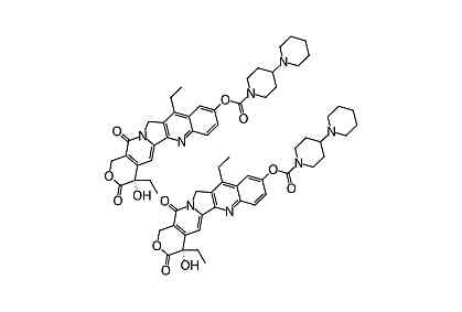 CCc1c2c(nc3ccc(OC(=O)N4CCC(N5CCCCC5)CC4)cc13)-c1cc3c(c(=O)n1C2)COC(=O)[C@]3(O)CC.CCc1c2c(nc3ccc(OC(=O)N4CCC(N5CCCCC5)CC4)cc13)-c1cc3c(c(=O)n1C2)COC(=O)[C@]3(O)CC